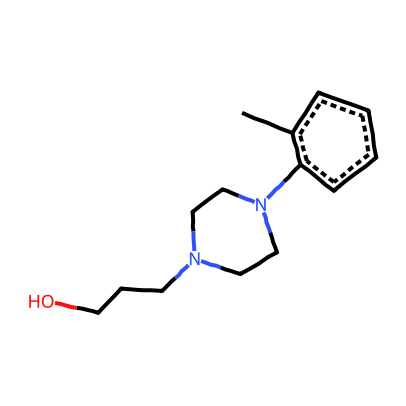 Cc1ccccc1N1CCN(CCCO)CC1